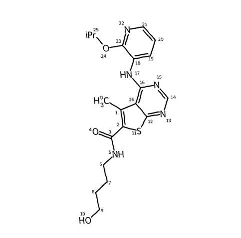 Cc1c(C(=O)NCCCCO)sc2ncnc(Nc3cccnc3OC(C)C)c12